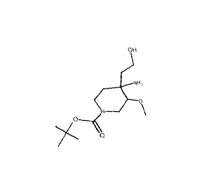 COC1CN(C(=O)OC(C)(C)C)CCC1(N)CCO